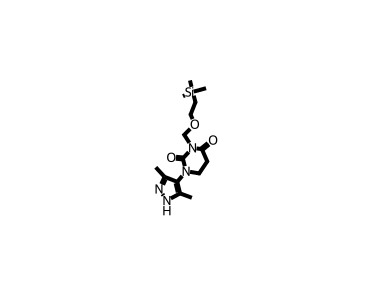 Cc1n[nH]c(C)c1N1CCC(=O)N(COCC[Si](C)(C)C)C1=O